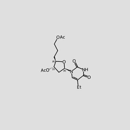 CCc1cn([C@H]2C[C@H](OC(C)=O)[C@@H](CCCOC(C)=O)O2)c(=O)[nH]c1=O